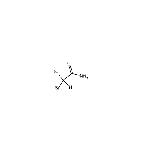 [2H]C([2H])(Br)C(N)=O